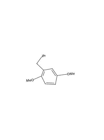 COc1ccc(OC)c(CC(C)C)c1